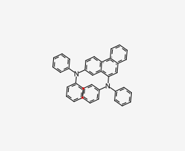 c1ccc(N(c2ccccc2)c2ccc3c(c2)c(N(c2ccccc2)c2ccccc2)cc2ccccc23)cc1